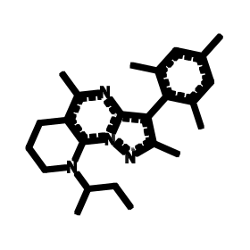 CCC(C)N1CCCc2c(C)nc3c(-c4c(C)cc(C)cc4C)c(C)nn3c21